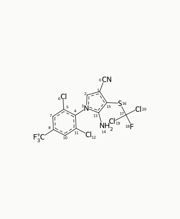 N#Cc1cn(-c2c(Cl)cc(C(F)(F)F)cc2Cl)c(N)c1SC(F)(Cl)Cl